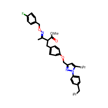 CCCc1cc(COc2ccc(CC(C(=O)OC)/C(C)=N/OCc3ccc(F)cc3)cc2)nn1-c1ccc(CC(C)C)cc1